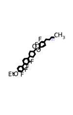 C/C=C/CCc1ccc(OC(=O)C2CCC(c3ccc(-c4ccc(OCC)c(F)c4F)c(F)c3F)CC2)c(F)c1F